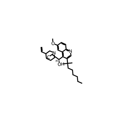 C=CC1CN2CCC1CC2[C@H](O)c1c(C(C)(C)CCCCCC)cnc2ccc(OC)cc12